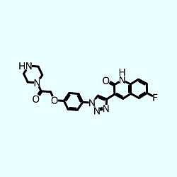 O=C(COc1ccc(-n2cc(-c3cc4cc(F)ccc4[nH]c3=O)nn2)cc1)N1CCNCC1